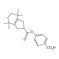 CC1(C)CCC(C)(C)C2=C1CC(C(=O)Oc1ccc(C(=O)O)cc1)C2